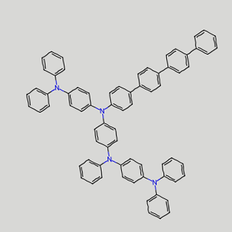 c1ccc(-c2ccc(-c3ccc(-c4ccc(N(c5ccc(N(c6ccccc6)c6ccccc6)cc5)c5ccc(N(c6ccccc6)c6ccc(N(c7ccccc7)c7ccccc7)cc6)cc5)cc4)cc3)cc2)cc1